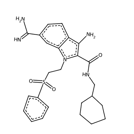 N=C(N)c1ccc2c(N)c(C(=O)NCC3CCCCC3)n(CCS(=O)(=O)c3ccccc3)c2c1